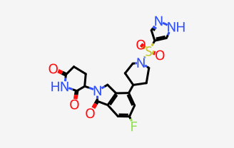 O=C1CCC(N2Cc3c(cc(F)cc3C3CCN(S(=O)(=O)c4cn[nH]c4)CC3)C2=O)C(=O)N1